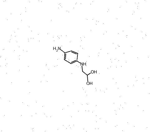 Nc1ccc(NCC(O)O)cc1